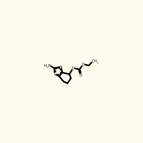 CCOC(=O)OC1CCCc2sc(N)nc21